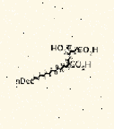 CCCCCCCCCCCCCCCCCCCCCCC(CCCC(CCC(=O)O)C(=O)O)C(=O)O